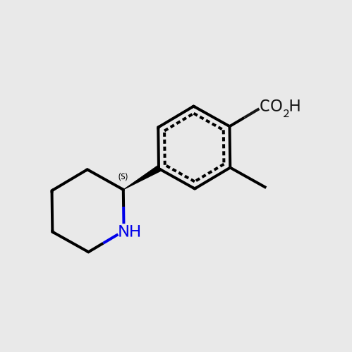 Cc1cc([C@@H]2CCCCN2)ccc1C(=O)O